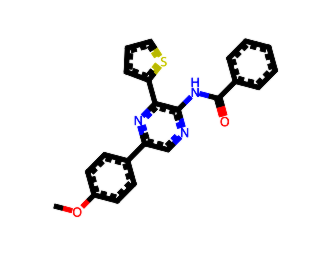 COc1ccc(-c2cnc(NC(=O)c3ccccc3)c(-c3cccs3)n2)cc1